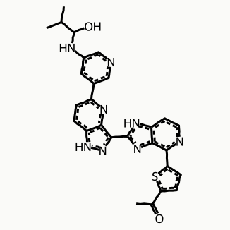 CC(=O)c1ccc(-c2nccc3[nH]c(-c4n[nH]c5ccc(-c6cncc(NC(O)C(C)C)c6)nc45)nc23)s1